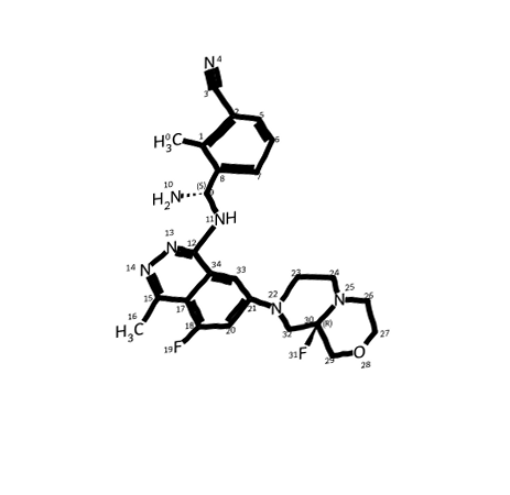 Cc1c(C#N)cccc1[C@@H](N)Nc1nnc(C)c2c(F)cc(N3CCN4CCOC[C@]4(F)C3)cc12